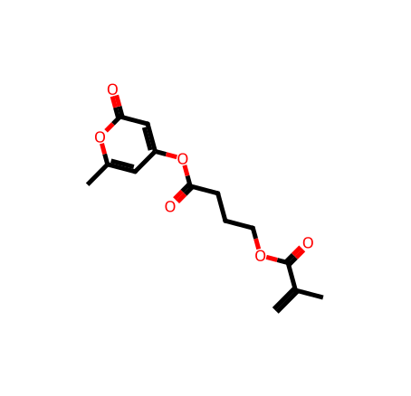 C=C(C)C(=O)OCCCC(=O)Oc1cc(C)oc(=O)c1